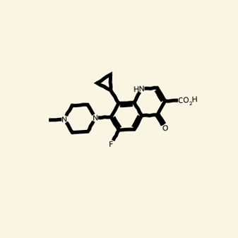 CN1CCN(c2c(F)cc3c(=O)c(C(=O)O)c[nH]c3c2C2CC2)CC1